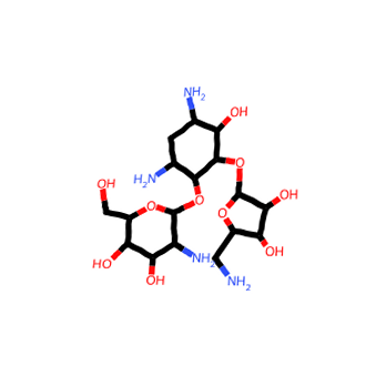 NCC1OC(OC2C(O)C(N)CC(N)C2OC2OC(CO)C(O)C(O)C2N)C(O)C1O